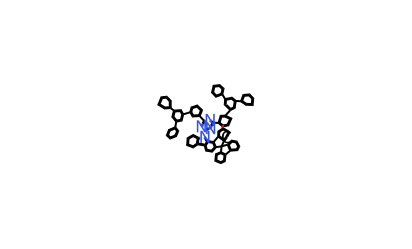 c1ccc(-c2cc(-c3ccccc3)cc(-c3cccc(-c4nc(-c5cccc(-c6cc(-c7ccccc7)cc(-c7ccccc7)c6)c5)nc(-n5c6ccccc6c6ccc7c(c65)-c5ccccc5C75c6ccccc6-c6ccccc65)n4)c3)c2)cc1